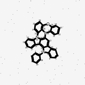 c1ccc(-n2c3ccccc3c3cc4c5c(c6ccccc6n5-c5cccc6c5B4c4ccccc4O6)c32)cc1